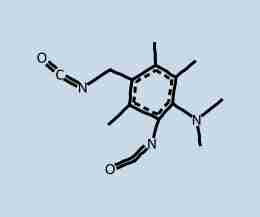 Cc1c(C)c(N(C)C)c(N=C=O)c(C)c1CN=C=O